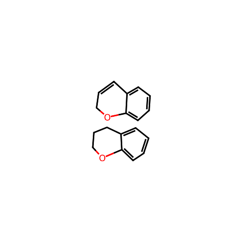 C1=Cc2ccccc2OC1.c1ccc2c(c1)CCCO2